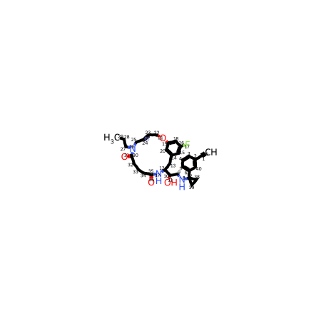 C#Cc1cccc(C2(NCC(O)C3Cc4cc(F)cc(c4)OC/C=C/CN(CCC)C(=O)CCCC(=O)N3)CC2)c1